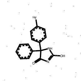 O=C1N=C(O)NC1(c1ccccc1)c1ccc([18F])cc1